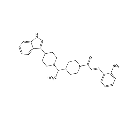 O=C(O)C(C1CCN(C(=O)C=Cc2ccccc2[N+](=O)[O-])CC1)N1CCC(c2c[nH]c3ccccc23)CC1